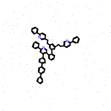 c1ccc(-c2ccc(-c3ccc(-c4cc(-c5ccccc5)ncc4-c4ccccc4-c4cc(CCc5ccc(-c6ccccc6)nc5)cc(CCc5ccc(-c6ccccc6)nc5)c4)cc3)cc2)cc1